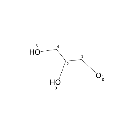 [O]CC(O)CO